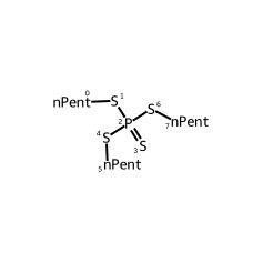 CCCCCSP(=S)(SCCCCC)SCCCCC